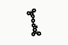 CC1(C)c2cc(-c3ccc(-c4ccc5c(c4)c4ccccc4n5-c4ccccc4)cc3)ccc2-c2cc3c4ccccc4n(-c4ccccc4)c3cc21